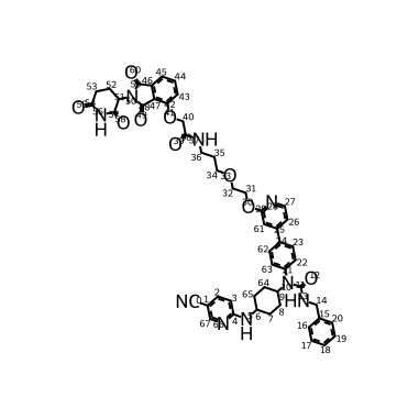 N#Cc1ccc(NC2CCC(N(C(=O)NCc3ccccc3)c3ccc(-c4ccnc(OCCOCCCNC(=O)COc5cccc6c5C(=O)N(C5CCC(=O)NC5=O)C6=O)c4)cc3)CC2)nc1